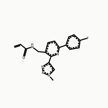 C=CC(=O)NCc1ccc(-c2ccc(F)cc2)nc1-c1cn(C)nn1